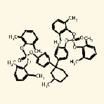 Cc1cccc(C)c1OP(=O)(Oc1ccc(C2(c3ccc(OP(=O)(Oc4c(C)cccc4C)Oc4c(C)cccc4C)cc3)CCCC(C)C2)cc1)Oc1c(C)cccc1C